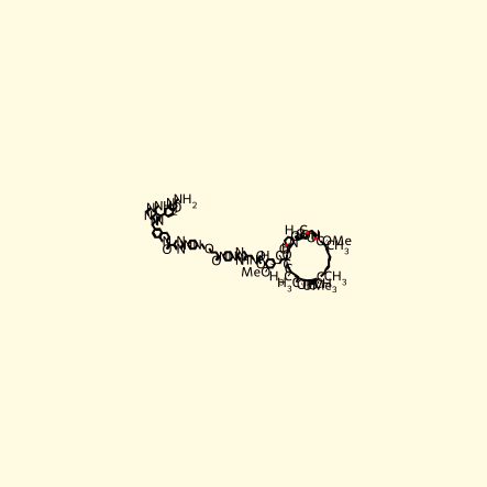 CO[C@H]1C[C@@H]2CC[C@@H](C)[C@@](O)(O2)C(=O)C(=O)N2CCCC[C@H]2C(=O)O[C@H]([C@H](C)C[C@@H]2CC[C@@H](OC(=O)NCc3cnc(N4CCN(C(=O)CCOCCN5CCN(c6ncc(C(=O)N7CCc8cc(Cn9nc(-c%10ccc%11oc(N)nc%11c%10)c%10c(N)ncnc%109)ccc8C7)cn6)CC5)CC4)nc3)[C@H](OC)C2)CC[C@H](C)/C=C(\C)[C@@H](O)[C@@H](OC)C(=O)[C@H](C)C[C@H](C)/C=C/C=C/C=C/1C